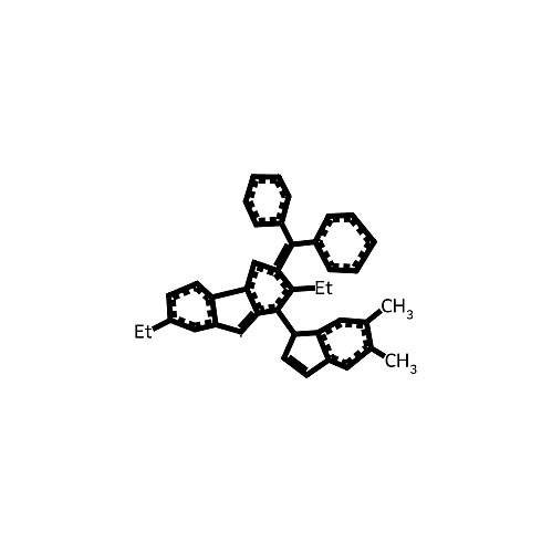 CCc1ccc2c(c1)[C]=c1c-2cc(=C(c2ccccc2)c2ccccc2)c(CC)c1C1C=Cc2cc(C)c(C)cc21